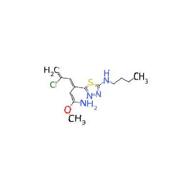 C=C(Cl)/C=C(\C=C(/N)OC)c1nnc(NCCCC)s1